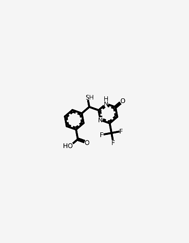 O=C(O)c1cccc(C(S)c2nc(C(F)(F)F)cc(=O)[nH]2)c1